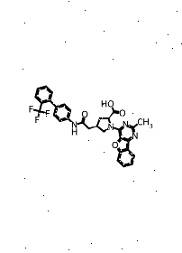 Cc1nc(N2C[C@@H](CC(=O)Nc3ccc(-c4ccccc4C(F)(F)F)cc3)C[C@H]2C(=O)O)c2oc3ccccc3c2n1